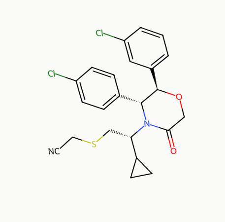 N#CCSC[C@@H](C1CC1)N1C(=O)CO[C@H](c2cccc(Cl)c2)[C@H]1c1ccc(Cl)cc1